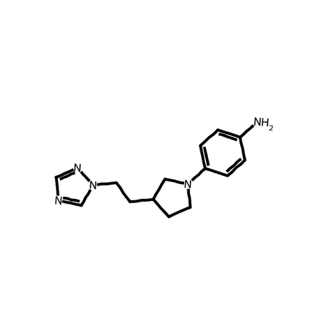 Nc1ccc(N2CCC(CCn3cncn3)C2)cc1